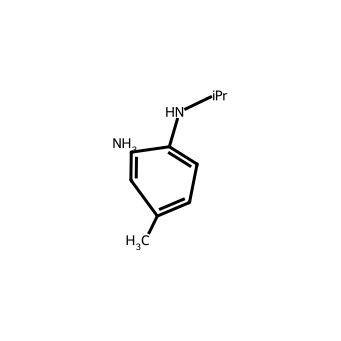 Cc1ccc(NC(C)C)cc1.N